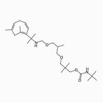 C/C1=C/C/C=C\C(C(C)(C)NCOCC(C)COCC(C)(C)COC(=O)NC(C)(C)C)=C(/C)C1